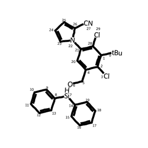 CC(C)(C)c1c(Cl)c(CO[SiH](c2ccccc2)c2ccccc2)cc(-n2cccc2C#N)c1Cl